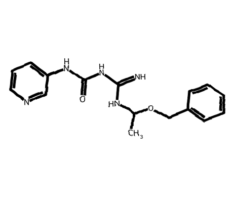 CC(NC(=N)NC(=O)Nc1cccnc1)OCc1ccccc1